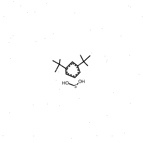 CC(C)(C)c1cccc(C(C)(C)C)c1.OSO